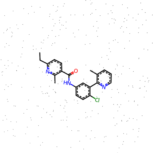 CCc1ccc(C(=O)Nc2ccc(Cl)c(-c3ncccc3C)c2)c(C)n1